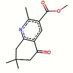 COC(=O)c1cc2c(nc1C)CC(C)(C)CC2=O